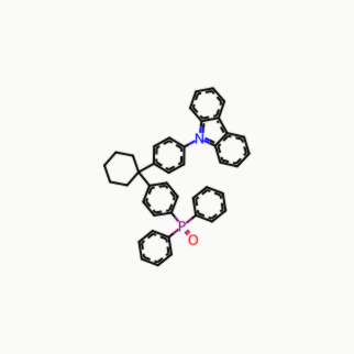 O=P(c1ccccc1)(c1ccccc1)c1ccc(C2(c3ccc(-n4c5ccccc5c5ccccc54)cc3)CCCCC2)cc1